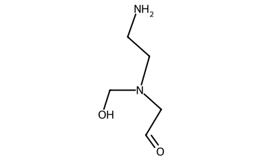 NCCN(CO)CC=O